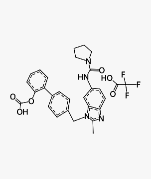 Cc1nc2ccc(NC(=O)N3CCCC3)cc2n1Cc1ccc(-c2ccccc2OC(=O)O)cc1.O=C(O)C(F)(F)F